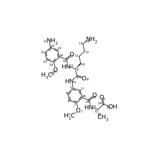 COc1ccc(NC(=O)[C@H](CCCCN)NC(=O)c2cc(N)ccc2OC)cc1C(=O)N[C@@H](C)C(=O)O